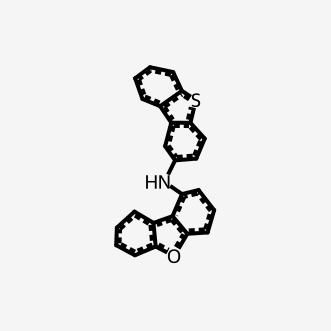 c1ccc2c(c1)oc1cccc(Nc3ccc4sc5ccccc5c4c3)c12